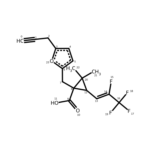 C#CCc1ccc(CC2(C(=O)O)C(C=C(F)C(F)(F)F)C2(C)C)o1